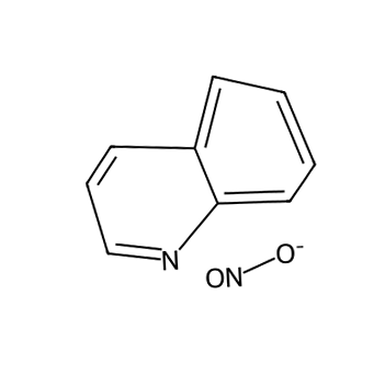 O=[NH+][O-].c1ccc2ncccc2c1